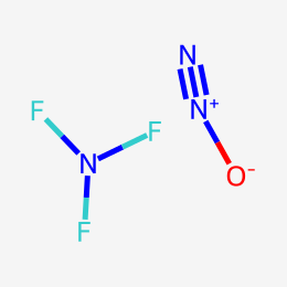 FN(F)F.N#[N+][O-]